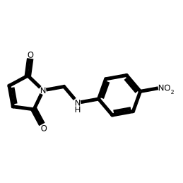 O=C1C=CC(=O)N1CNc1ccc([N+](=O)[O-])cc1